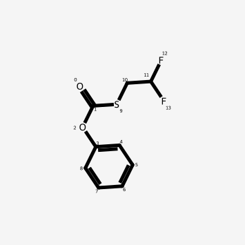 O=C(Oc1ccccc1)SCC(F)F